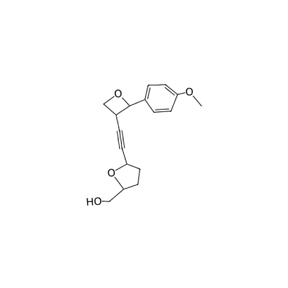 COc1ccc(C2OCC2C#CC2CCC(CO)O2)cc1